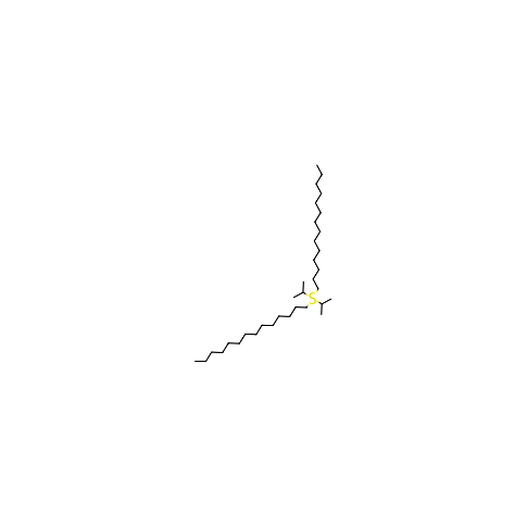 CCCCCCCCCCCCCCS(CCCCCCCCCCCCCC)(C(C)C)C(C)C